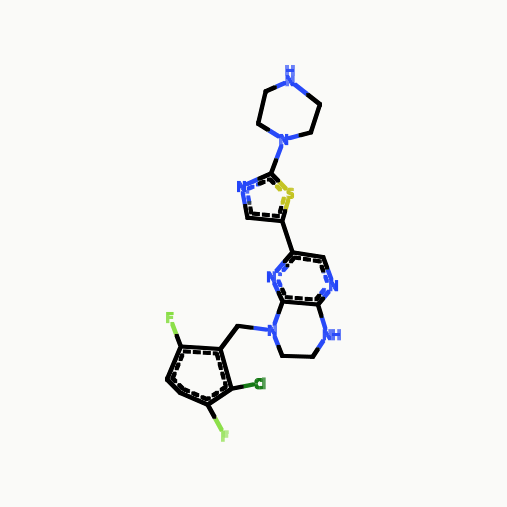 Fc1ccc(F)c(CN2CCNc3ncc(-c4cnc(N5CCNCC5)s4)nc32)c1Cl